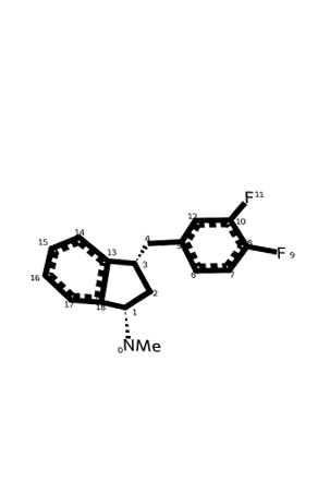 CN[C@H]1C[C@@H](Cc2ccc(F)c(F)c2)c2ccccc21